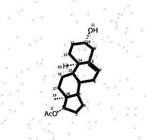 CC(=O)O[C@H]1CCC2C3CC=C4C[C@@H](O)CC[C@@H]4C3CC[C@@]21C